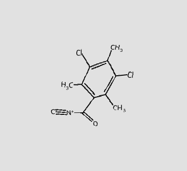 [C-]#[N+]C(=O)c1c(C)c(Cl)c(C)c(Cl)c1C